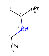 CCCC(C)NCC#N